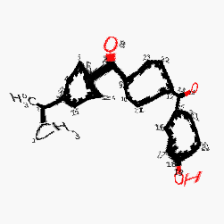 CC(C)c1ccc(C(=O)c2ccc(C(=O)c3ccc(O)cc3)cc2)cc1